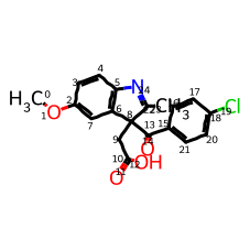 COc1ccc2c(c1)C(CC(=O)O)(C(=O)c1ccc(Cl)cc1)C(C)=N2